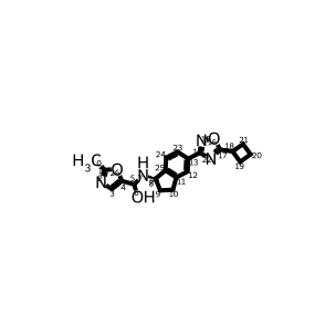 Cc1ncc(C(O)N[C@@H]2CCc3cc(-c4noc(C5CCC5)n4)ccc32)o1